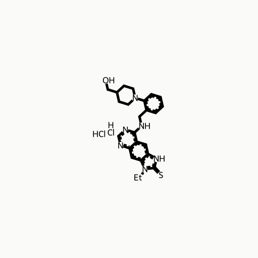 CCn1c(=S)[nH]c2cc3c(NCc4ccccc4N4CCC(CO)CC4)ncnc3cc21.Cl.Cl